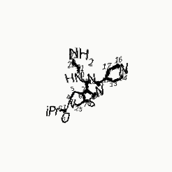 CC(C)C(=O)N1CCc2c(sc3nc(-c4ccncc4)nc(NCCN)c23)C1